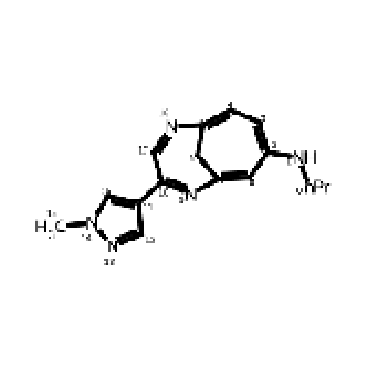 CCCNC1=CC=C2CC(=C1)N=C(c1cnn(C)c1)C=N2